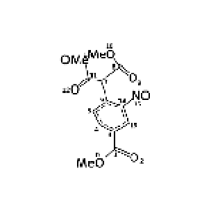 COC(=O)c1ccc(C(C(=O)OC)C(=O)OC)c(N=O)c1